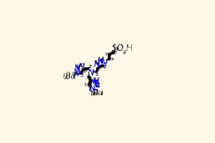 CC(C)(C)n1cc(CN(Cc2cn(CCCS(=O)(=O)O)nn2)Cc2cn(C(C)(C)C)nn2)nn1